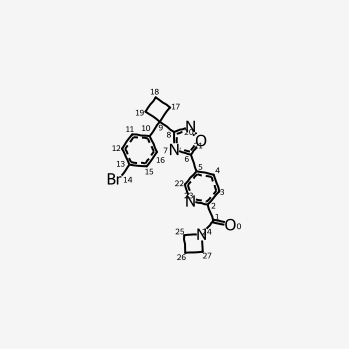 O=C(c1ccc(-c2nc(C3(c4ccc(Br)cc4)CCC3)no2)cn1)N1CCC1